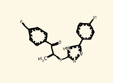 CCc1ccc(-c2nnc(SC(C)C(=O)c3ccc(F)cc3)[nH]2)cc1